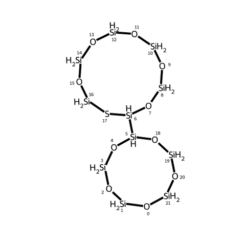 O1[SiH2]O[SiH2]O[SiH]([SiH]2O[SiH2]O[SiH2]O[SiH2]O[SiH2]O[SiH2]S2)O[SiH2]O[SiH2]1